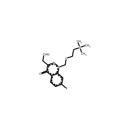 CS(C)(C)CCOCn1nc(CC=O)c(=O)c2ccc(F)cc21